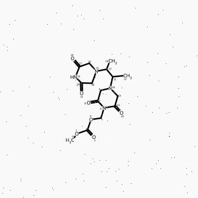 COC(=O)OCN1C(=O)CN(C(C)C(C)N2CC(=O)NC(=O)C2)CC1=O